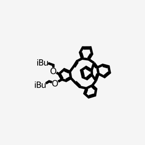 CCC(C)COc1cc2ccc3ccccc3c3c4ccccc4c(c4ccccc4ccc2cc1OCC(C)CC)c1ccccc13